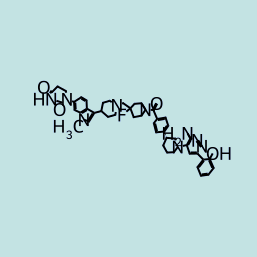 Cn1cc(C2CCN(CC3(F)CCN(C(=O)c4ccc([C@H]5CCCN(c6cc(-c7ccccc7O)nnc6N)C5)cc4)CC3)CC2)c2ccc(N3CCC(=O)NC3=O)cc21